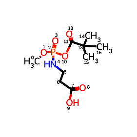 COP(=O)(NCCC(=O)O)OC(=O)C(C)(C)C